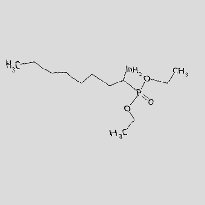 CCCCCCC[CH]([InH2])P(=O)(OCC)OCC